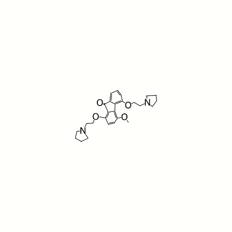 COc1ccc(OCCN2CCCC2)c2c1-c1c(OCCN3CCCC3)cccc1C2=O